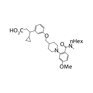 CCCCCCN(C)C(=O)c1ccc(OC)cc1N1CCC(COc2cccc(C(CC(=O)O)C3CC3)c2)CC1